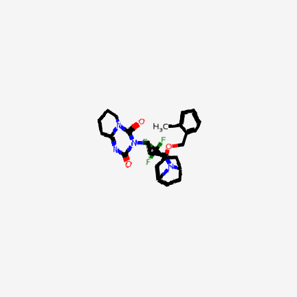 Cc1ccccc1COC1(C(F)(F)F)CC2CCC(C1)N2CCCn1c(=O)nc2n(c1=O)CCCC2